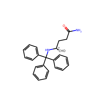 NC(=O)CC[C@@H](C=O)NC(c1ccccc1)(c1ccccc1)c1ccccc1